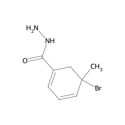 CC1(Br)C=CC=C(C(=O)NN)C1